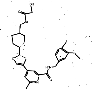 COc1cc(CNC(=O)c2cc(C3=NO[C@H]([C@H]4CC[C@H](CNC(=O)CO)CC4)C3)nc(C)n2)ccc1F